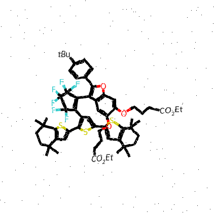 CCOC(=O)CCCOc1cc2oc(-c3ccc(C(C)(C)C)cc3)c(C3=C(c4cc(-c5cc6c(s5)C(C)(C)CCC6(C)C)sc4-c4cc5c(s4)C(C)(C)CCC5(C)C)C(F)(F)C(F)(F)C3(F)F)c2cc1OCCCC(=O)OCC